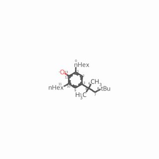 CCCCCCc1cc(C(C)(C)CC(C)(C)C)cc(CCCCCC)c1[O]